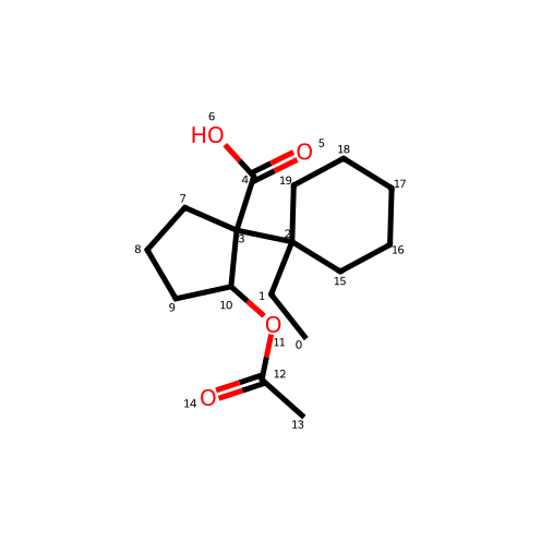 CCC1(C2(C(=O)O)CCCC2OC(C)=O)CCCCC1